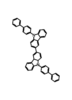 C1=CC2C(C=C1c1ccc3c(c1)c1ccccc1n3-c1ccc(-c3ccccc3)cc1)c1ccccc1N2c1ccc(-c2ccccc2)cc1